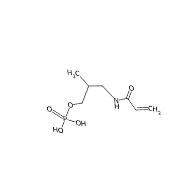 C=CC(=O)NCC(C)COP(=O)(O)O